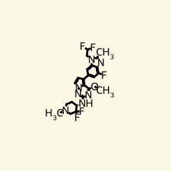 COc1nc(N[C@H]2CCN(C)CC2(F)F)nn2ccc(-c3cc(F)c4nc(C)n(CC(F)F)c4c3)c12